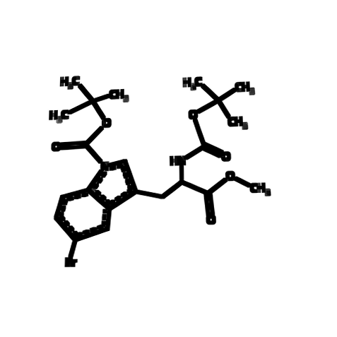 COC(=O)C(Cc1cn(C(=O)OC(C)(C)C)c2ccc(Br)cc12)NC(=O)OC(C)(C)C